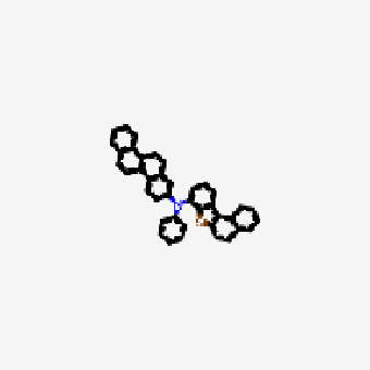 c1ccc(N(c2ccc3c(ccc4c5ccccc5ccc34)c2)c2cccc3c2sc2ccc4ccccc4c23)cc1